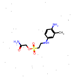 Cc1cc(NCCS(=O)(=O)OCC(N)=O)ccc1N